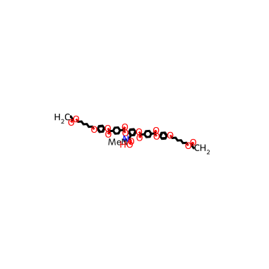 C=CC(=O)OCCCCCCOc1ccc(OC(=O)C2CCC(C(=O)Oc3ccc(OC(=O)C4CCC(C(=O)Oc5ccc(OCCCCCCOC(=O)C=C)cc5)CC4)c(/C(=N/NC)OO)c3)CC2)cc1